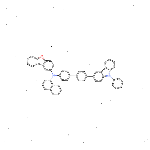 c1ccc(-n2c3ccccc3c3cc(-c4ccc(-c5ccc(N(c6ccc7oc8ccccc8c7c6)c6cccc7ccccc67)cc5)cc4)ccc32)cc1